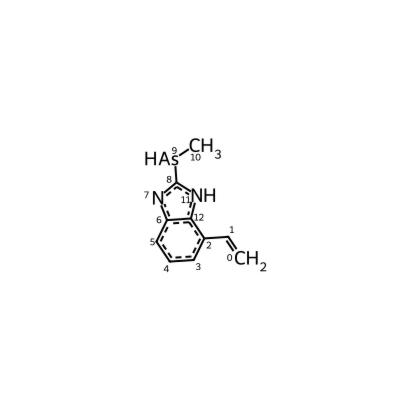 C=Cc1cccc2nc([AsH]C)[nH]c12